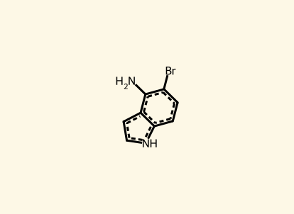 Nc1c(Br)ccc2[nH]ccc12